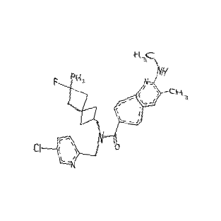 CNc1nc2ccc(C(=O)N(Cc3ccc(Cl)cn3)C3CC4(C3)CC(F)(P)C4)cc2cc1C